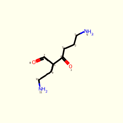 NCCCC(=O)C(C=O)CCN